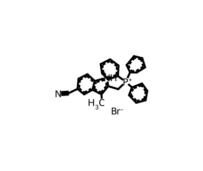 Cc1c(C[P+](c2ccccc2)(c2ccccc2)c2ccccc2)[nH]c2ccc(C#N)cc12.[Br-]